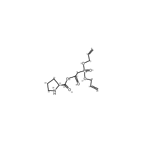 C=CCOP(=O)(CC(=O)OC(=O)[C@@H]1CCCN1)OCC=C